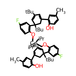 Cc1ccc(O)c(C2=CC(C(C)(C)C)=CC(c3cc(F)ccc3O[CH2][Ge]([CH2]Oc3ccc(F)cc3C3(C(C)(C)C)C=C(C(C)(C)C)C=C(c4cc(C)ccc4O)C3)([CH](C)C)[CH](C)C)(C(C)(C)C)C2)c1